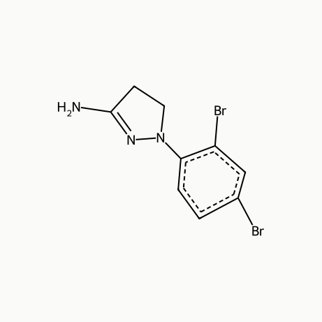 NC1=NN(c2ccc(Br)cc2Br)CC1